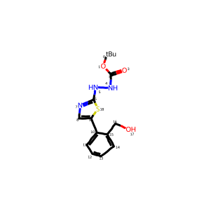 CC(C)(C)OC(=O)NNc1ncc(-c2ccccc2CO)s1